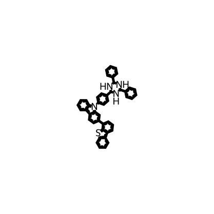 c1ccc(C2NC(c3ccccc3)NC(c3ccc(-n4c5ccccc5c5ccc(-c6cccc7c6sc6ccccc67)cc54)cc3)N2)cc1